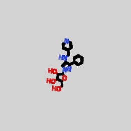 OC[C@@H]1O[C@@H](n2cc(NCc3ccncc3)c(-c3ccccc3)n2)[C@H](O)[C@@H]1O